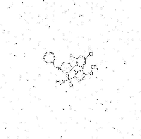 NS(=O)(=O)c1ccc(OC(F)(F)F)cc1C1(c2ncc(Cl)cc2F)CCN(Cc2ccccc2)CC1